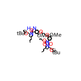 C=CCOC(=O)N(C(=O)N1C=C(C=CC)CC1CO[Si](C)(C)C(C)(C)C)c1ccc(OC)c(OCCCOc2cc(N)c(C(=O)N3C=C(C=CC)CC3CO[Si](C)(C)C(C)(C)C)cc2OC)c1